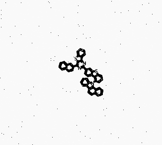 c1ccc2cc(-c3nc(-c4ccc5c(c4)sc4cccc(-n6c7ccccc7c7ccc8ccccc8c76)c45)nc4c3sc3ccccc34)ccc2c1